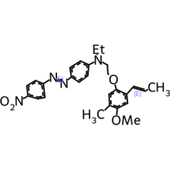 C/C=C/c1cc(OC)c(C)cc1OCCN(CC)c1ccc(/N=N/c2ccc([N+](=O)[O-])cc2)cc1